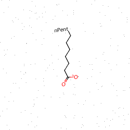 CCCCCCCCCCCC(=O)[2O]